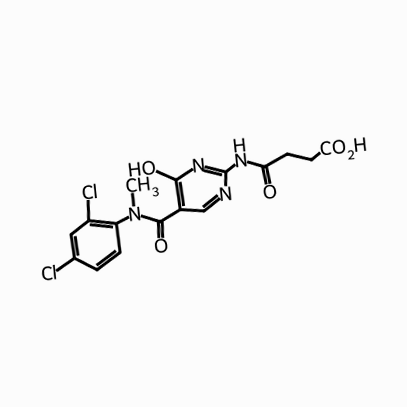 CN(C(=O)c1cnc(NC(=O)CCC(=O)O)nc1O)c1ccc(Cl)cc1Cl